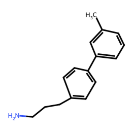 Cc1cccc(-c2ccc(CCCN)cc2)c1